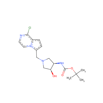 CC(C)(C)OC(=O)N[C@@H]1CN(Cc2ccc3c(Cl)nccn23)C[C@@H]1O